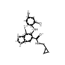 O=C(NCC1CC1)c1cc2scnc2c(F)c1Nc1ccc(Br)cc1Cl